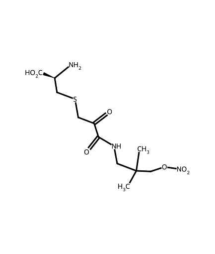 CC(C)(CNC(=O)C(=O)CSC[C@H](N)C(=O)O)CO[N+](=O)[O-]